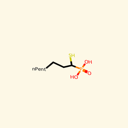 CCCCCCCC(S)P(=O)(O)O